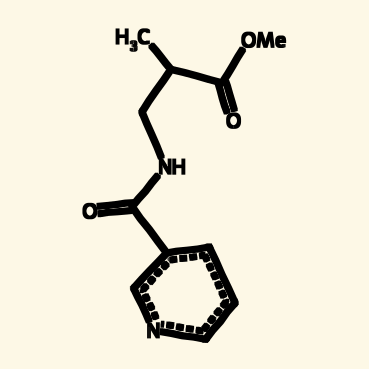 COC(=O)C(C)CNC(=O)c1cccnc1